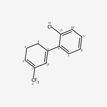 FC(F)(F)C1=CC[CH]C(c2ccccc2Cl)=C1